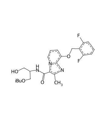 Cc1nc2c(OCc3c(F)cccc3F)cccn2c1C(=O)NC(CO)COCC(C)C